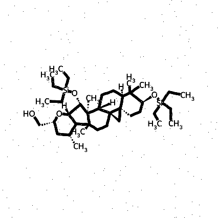 CC[Si](CC)(CC)O[C@H]1CC[C@]23C[C@]24CC[C@]2(C)C5[C@H](C)C[C@H](CO)O[C@@H]5[C@H](O[Si](CC)(CC)CC)[C@@]2(C)[C@@H]4CC[C@H]3C1(C)C